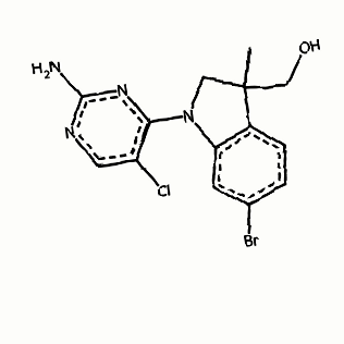 CC1(CO)CN(c2nc(N)ncc2Cl)c2cc(Br)ccc21